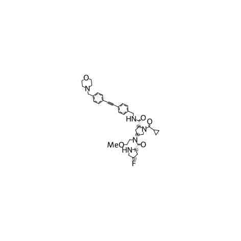 COCCN(C(=O)[C@@H]1C[C@H](F)CN1)[C@@H]1C[C@H](C(=O)NCc2ccc(C#Cc3ccc(CN4CCOCC4)cc3)cc2)N(C(=O)C2CC2)C1